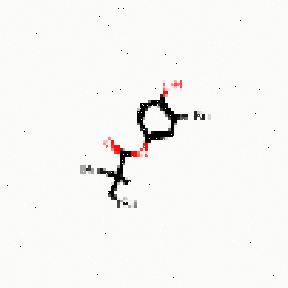 CC(C)(C)CC(C)(C(=O)Oc1ccc(O)c(C(C)(C)C)c1)C(C)(C)C